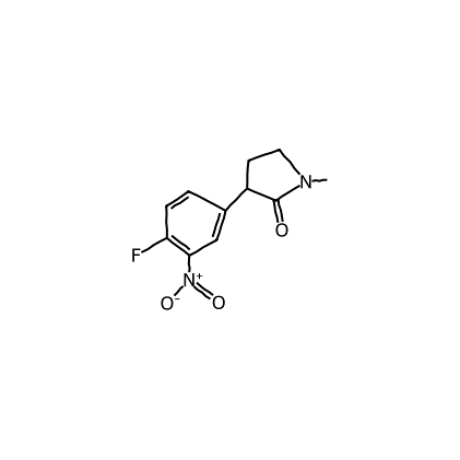 CN1CCC(c2ccc(F)c([N+](=O)[O-])c2)C1=O